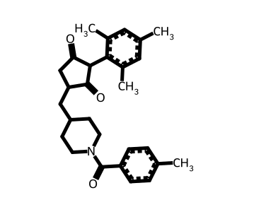 Cc1ccc(C(=O)N2CCC(CC3CC(=O)C(c4c(C)cc(C)cc4C)C3=O)CC2)cc1